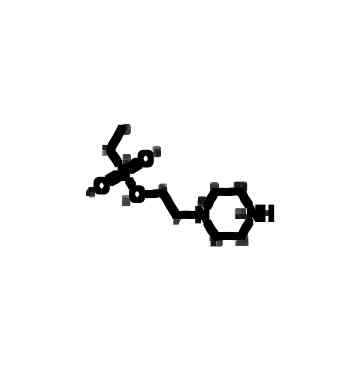 CCS(=O)(=O)OCCN1CCNCC1